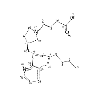 CCCCc1cc(O[C@H]2CCN(CCCC(=O)O)C2)c2ncccc2c1